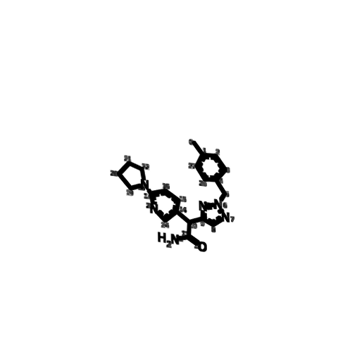 Cc1ccc(Cn2ncc(C(C(N)=O)c3ccc(N4CCCC4)nc3)n2)cc1